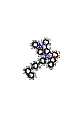 c1ccc(-c2cc(-c3ccccc3-n3c4ccccc4c4ccccc43)ccc2N(c2ccc(-c3ccc(-c4cccc5ccccc45)cc3)cc2)c2cccc3ccccc23)cc1